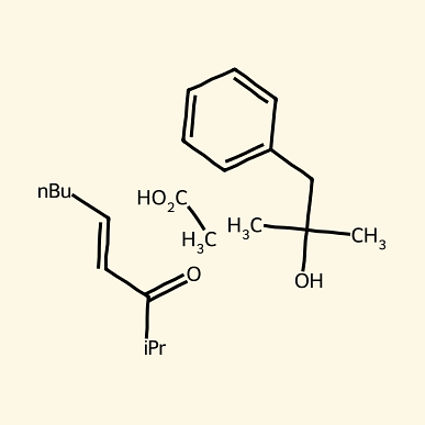 CC(=O)O.CC(C)(O)Cc1ccccc1.CCCCC=CC(=O)C(C)C